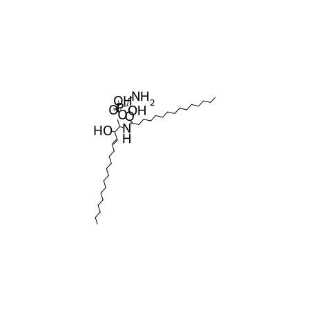 CCCCCCCCCCCCCC=CC(O)C(COP(=O)(O)C(O)CN)NC(=O)CCCCCCCCCCCCCC